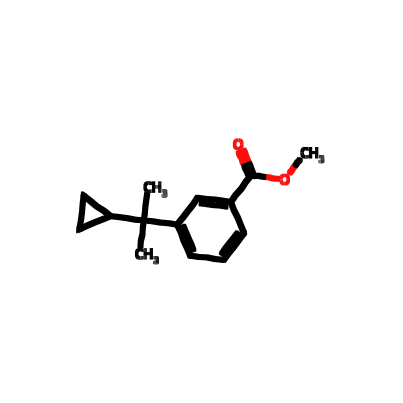 COC(=O)c1cccc(C(C)(C)C2CC2)c1